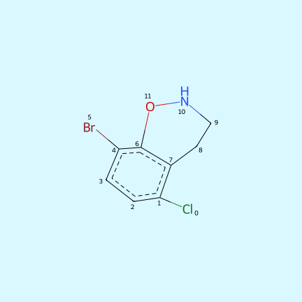 Clc1ccc(Br)c2c1CCNO2